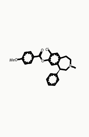 COc1ccc(C(=O)Oc2cc3c(cc2Cl)CCN(C)C[C@H]3c2ccccc2)cc1